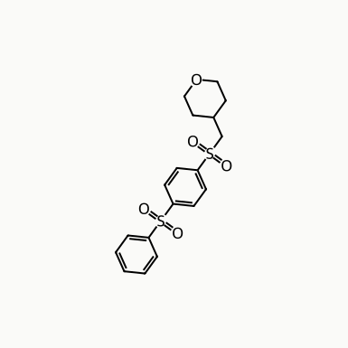 O=S(=O)(CC1CCOCC1)c1ccc(S(=O)(=O)c2ccccc2)cc1